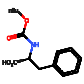 CCCCOC(=O)N[C@@H](Cc1ccccc1)C(=O)O